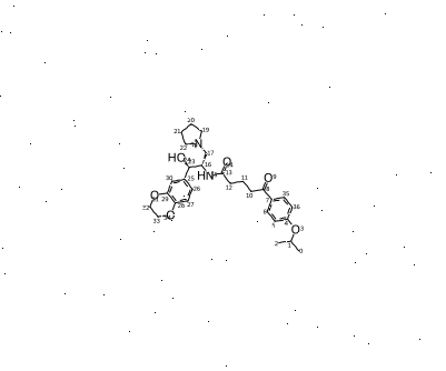 CC(C)Oc1ccc(C(=O)CCCC(=O)N[C@H](CN2CCCC2)[C@H](O)c2ccc3c(c2)OCCO3)cc1